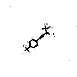 C=C(C#Cc1ccc(C(F)(F)F)cc1)C(F)(F)F